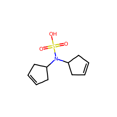 O=S(=O)(O)N(C1CC=CC1)C1CC=CC1